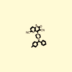 Cc1ccc(C(c2ccccc2)N2CCN(c3c(C#N)c(=O)n(C)c4ccc(C#N)nc34)CC2)cc1